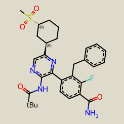 CC(C)(C)C(=O)Nc1ncc([C@@H]2CCC[C@@H](S(C)(=O)=O)C2)nc1-c1ccc(C(N)=O)c(F)c1Cc1ccccc1